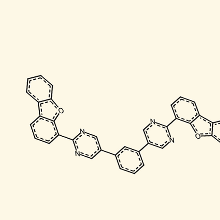 c1cc(-c2cnc(-c3cccc4c3oc3ccccc34)nc2)cc(-c2cnc(-c3cccc4c3oc3ccccc34)nc2)c1